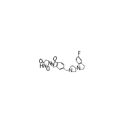 O=C1CCN(N2Cc3cc(CN4CCC(N5CCCc6cc(F)ccc65)CC4)ccc3C2=O)C(=O)N1